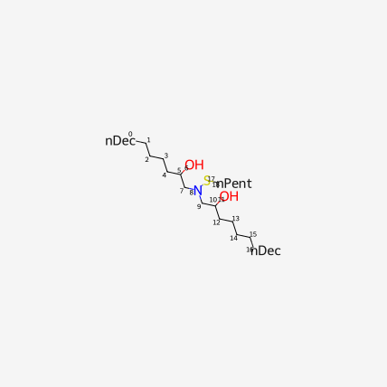 CCCCCCCCCCCCCCC(O)CN(CC(O)CCCCCCCCCCCCCC)SCCCCC